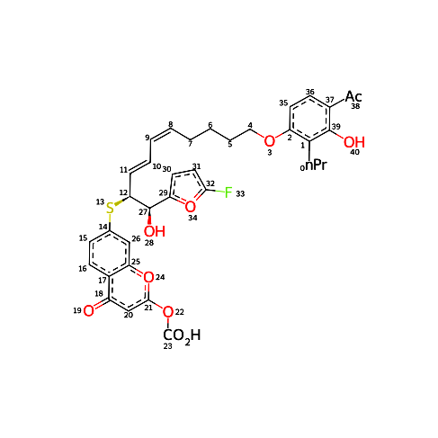 CCCc1c(OCCCC/C=C\C=C\[C@H](Sc2ccc3c(=O)cc(OC(=O)O)oc3c2)[C@H](O)c2ccc(F)o2)ccc(C(C)=O)c1O